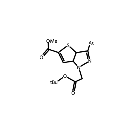 COC(=O)C1=CC2C(S1)C(C(C)=O)=NN2CC(=O)OC(C)(C)C